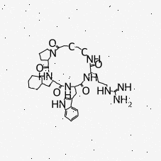 N=C(N)NCCCC1NC(=O)C(Cc2c[nH]c3ccccc23)NC(=O)[C@@H](CC2CCCCC2)NC(=O)C2CCCN2C(=O)CCCCNC1=O